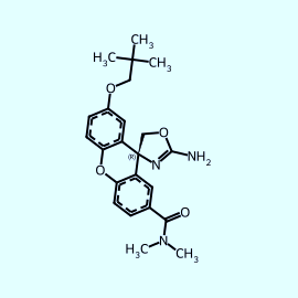 CN(C)C(=O)c1ccc2c(c1)[C@]1(COC(N)=N1)c1cc(OCC(C)(C)C)ccc1O2